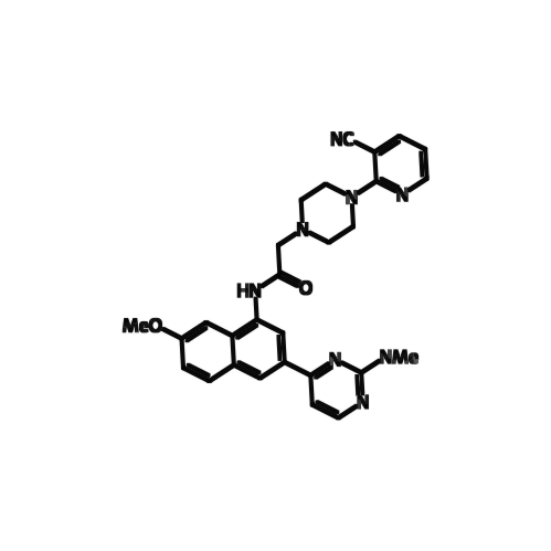 CNc1nccc(-c2cc(NC(=O)CN3CCN(c4ncccc4C#N)CC3)c3cc(OC)ccc3c2)n1